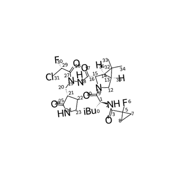 CC[C@@H](C)[C@H](NC(=O)C1(F)CC1)C(=O)N1C[C@H]2[C@@H]([C@H]1C(=O)NN(C[C@@H]1CCNC1=O)C(=O)[C@@H](F)Cl)C2(C)C